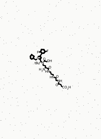 CC(C)(C)[C@H](c1cc(-c2cc(F)ccc2F)cn1Cc1ccccc1)N(CC[C@H](N)C(=O)NCCCNC(=O)CNC(=O)CCC(=O)O)C(=O)CO